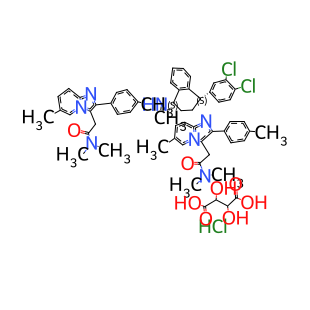 CN[C@H]1CC[C@@H](c2ccc(Cl)c(Cl)c2)c2ccccc21.Cc1ccc(-c2nc3ccc(C)cn3c2CC(=O)N(C)C)cc1.Cc1ccc(-c2nc3ccc(C)cn3c2CC(=O)N(C)C)cc1.Cl.O=C(O)C(O)C(O)C(=O)O